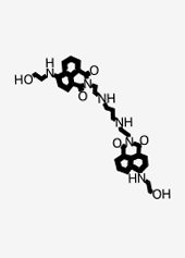 O=C1c2cccc3c(NCCO)ccc(c23)C(=O)N1CCNCCCNCCN1C(=O)c2cccc3c(NCCO)ccc(c23)C1=O